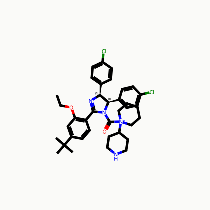 CCOc1cc(C(C)(C)C)ccc1C1=N[C@@H](c2ccc(Cl)cc2)[C@@H](c2ccc(Cl)cc2)N1C(=O)[N+]1(C2CCNCC2)CCCCC1